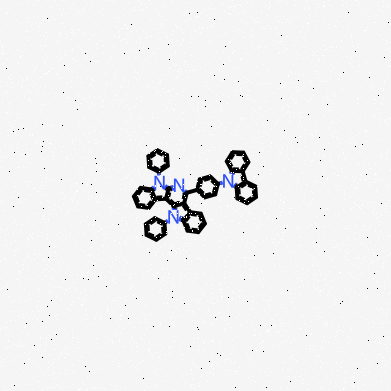 c1ccc(-n2c3ccccc3c3c2nc(-c2ccc(-n4c5ccccc5c5ccccc54)cc2)c2c4ccccc4n(-c4ccccc4)c23)cc1